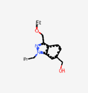 CCOCc1nn(CC(C)C)c2cc(CO)ccc12